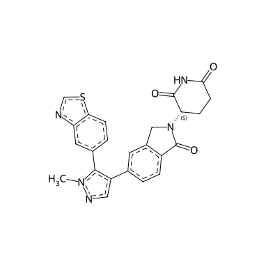 Cn1ncc(-c2ccc3c(c2)CN([C@H]2CCC(=O)NC2=O)C3=O)c1-c1ccc2scnc2c1